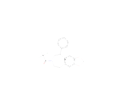 O=C(N1CCc2cc3c(cc2C(c2ccccc2)C1)OCO3)C(F)(F)F